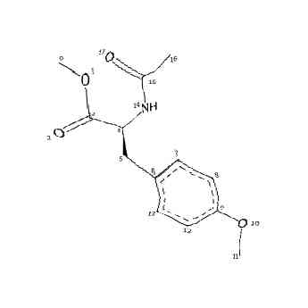 COC(=O)[C@H](Cc1ccc(OC)cc1)NC(C)=O